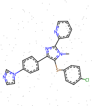 Cn1c(-c2ccccn2)nc(-c2ccc(-n3ccnc3)cc2)c1Sc1ccc(Cl)cc1